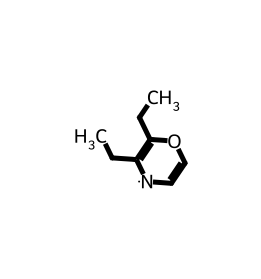 CCC1=C(CC)OC=C[N]1